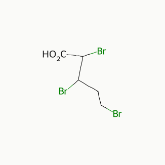 O=C(O)C(Br)C(Br)CCBr